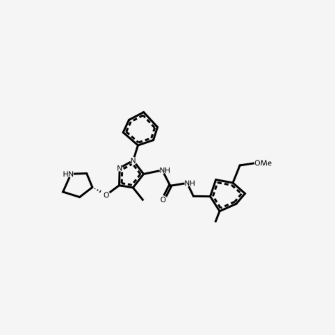 COCc1ccc(C)c(CNC(=O)Nc2c(C)c(O[C@@H]3CCNC3)nn2-c2ccccc2)c1